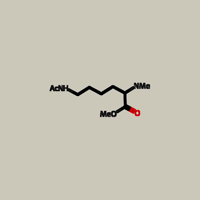 CNC(CCCCNC(C)=O)C(=O)OC